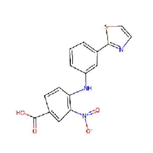 O=C(O)c1ccc(Nc2cccc(-c3nccs3)c2)c([N+](=O)[O-])c1